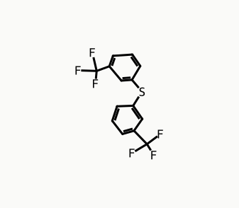 FC(F)(F)c1cccc(Sc2cccc(C(F)(F)F)c2)c1